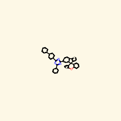 c1ccc(-c2ccc(-c3nc(-c4ccccc4)nc(-c4ccc5c(c4)C4(c6ccccc6Oc6ccccc64)c4ccccc4-5)n3)cc2)cc1